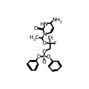 CC[C@@](F)(COP(=O)(Oc1ccccc1)Oc1ccccc1)OC(C)N1C=CC(N)NC1=O